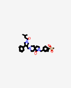 CC(C)CC(=O)N1CC(CN2CCC3(CC2)CCN(Cc2ccc(S(C)(=O)=O)cc2)C3=O)C(c2ccccc2)C1